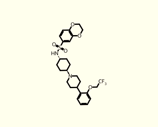 O=S(=O)(N[C@H]1CC[C@H](N2CCC(c3ccccc3OCC(F)(F)F)CC2)CC1)c1ccc2c(c1)OCCO2